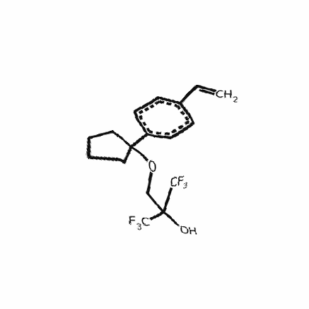 C=Cc1ccc(C2(OCC(O)(C(F)(F)F)C(F)(F)F)CCCC2)cc1